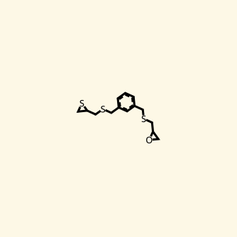 c1cc(CSCC2CO2)cc(CSCC2CS2)c1